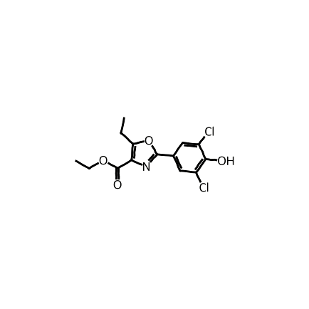 CCOC(=O)c1nc(-c2cc(Cl)c(O)c(Cl)c2)oc1CC